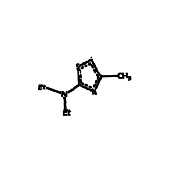 CCN(CC)c1nc(C)[c]s1